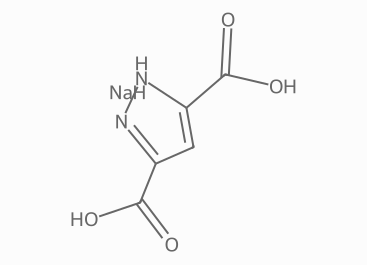 O=C(O)c1cc(C(=O)O)[nH]n1.[NaH]